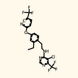 CCc1cc(Oc2ccc(C(F)(F)F)cn2)ccc1CCNc1ncnc(C(F)(F)F)c1Cl